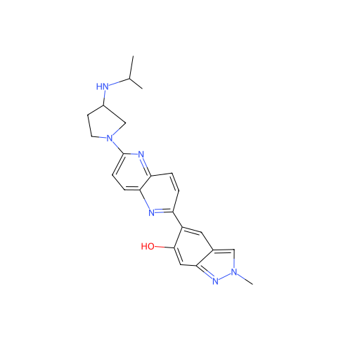 CC(C)NC1CCN(c2ccc3nc(-c4cc5cn(C)nc5cc4O)ccc3n2)C1